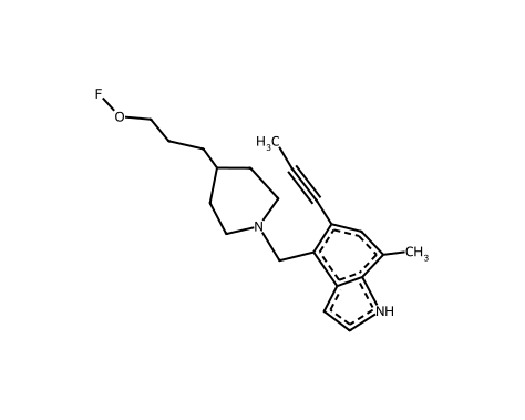 CC#Cc1cc(C)c2[nH]ccc2c1CN1CCC(CCCOF)CC1